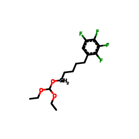 CCOC(OCC)O[SiH2]CCCCc1cc(F)c(F)c(F)c1F